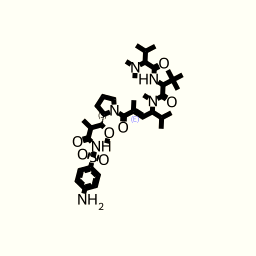 COC(C(C)C(=O)NS(=O)(=O)c1ccc(N)cc1)[C@@H]1CCCN1C(=O)/C(C)=C/C(C(C)C)N(C)C(=O)C(NC(=O)C(C(C)C)N(C)C)C(C)(C)C